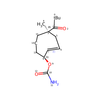 CC(C)(C)C(=O)[C@@]1(C)C/C=C/[C@@H](OC(N)=O)CCC1